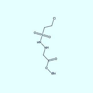 CC(C)(C)OC(=O)CNNS(=O)(=O)CCCl